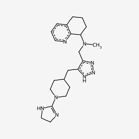 CN(Cc1nn[nH]c1CC1CCN(C2=NCCN2)CC1)C1CCCc2cccnc21